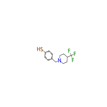 FC(F)(F)C1CCN(Cc2ccc(S)cc2)CC1